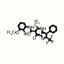 COc1cccc(NC(=O)c2c(C)[nH]c3c(-c4ccccc4)c(C(F)(F)F)nn3c2=O)c1Br